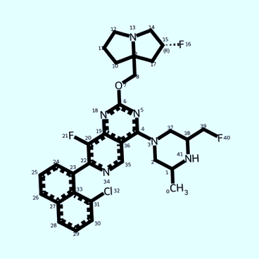 CC1CN(c2nc(OCC34CCCN3C[C@H](F)C4)nc3c(F)c(-c4cccc5cccc(Cl)c45)ncc23)CC(CF)N1